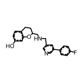 Oc1ccc2c(c1)OC(CNCc1cncc(-c3ccc(F)cc3)c1)CC2